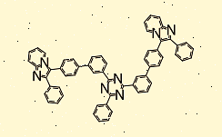 c1ccc(-c2nc(-c3cccc(-c4ccc(-c5c(-c6ccccc6)nc6ccccn56)cc4)c3)nc(-c3cccc(-c4ccc(-c5c(-c6ccccc6)nc6ccccn56)cc4)c3)n2)cc1